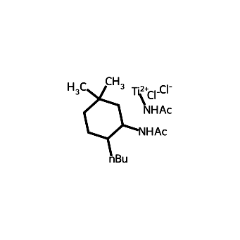 CC(=O)[NH][Ti+2].CCCCC1CCC(C)(C)CC1NC(C)=O.[Cl-].[Cl-]